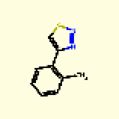 Cc1ccc[c]c1-c1csnn1